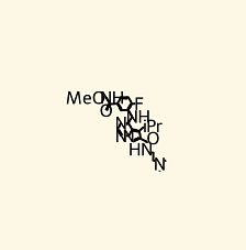 CONC(=O)c1ccc(F)c(Nc2ncnn3cc(C(=O)NCCN(C)C)c(C(C)C)c23)c1